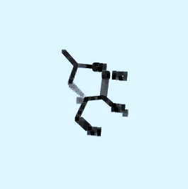 CC(O)C[C@@H](C=N)C(N)=O.Cl